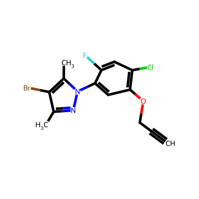 C#CCOc1cc(-n2nc(C)c(Br)c2C)c(F)cc1Cl